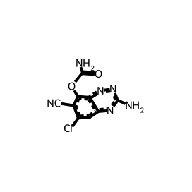 N#Cc1c(Cl)cc2nc(N)nnc2c1OC(N)=O